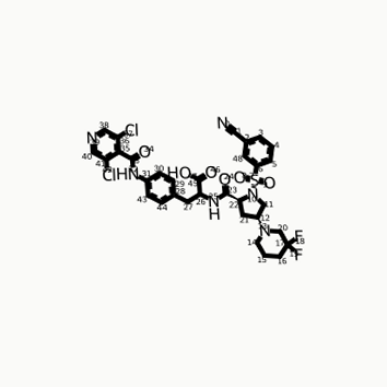 N#Cc1cccc(S(=O)(=O)N2C[C@H](N3CCCC(F)(F)C3)C[C@H]2C(=O)NC(Cc2ccc(NC(=O)c3c(Cl)cncc3Cl)cc2)C(=O)O)c1